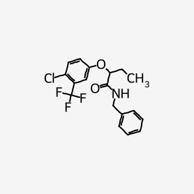 CCC(Oc1ccc(Cl)c(C(F)(F)F)c1)C(=O)NCc1ccccc1